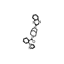 O=C(c1ccccc1-n1cccn1)N1CC2CC(C1)CN(c1cnc3ccccc3n1)C2